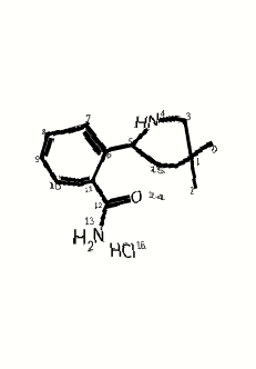 CC1(C)CNC(c2ccccc2C(N)=O)C1.Cl